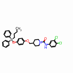 CCCC[Si](Oc1ccc(OCC2CCN(C(=O)Nc3ccc(Cl)c(Cl)c3)CC2)cc1)(c1ccccc1)c1ccccc1